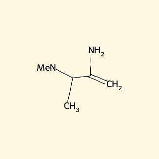 C=C(N)C(C)NC